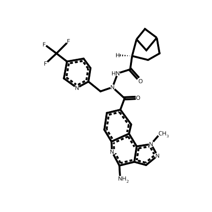 Cn1ncc2c(N)nc3ccc(C(=O)N(Cc4ccc(C(F)(F)F)cn4)NC(=O)[C@@H]4CCC5CC4C5)cc3c21